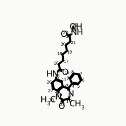 CC1N=C(c2ccccc2)c2cc(NC(=O)CCCCCCC(=O)NO)ccc2N(C)C1=O